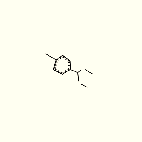 Cc1ccc(C(OC(C)C)OC(C)C)cc1